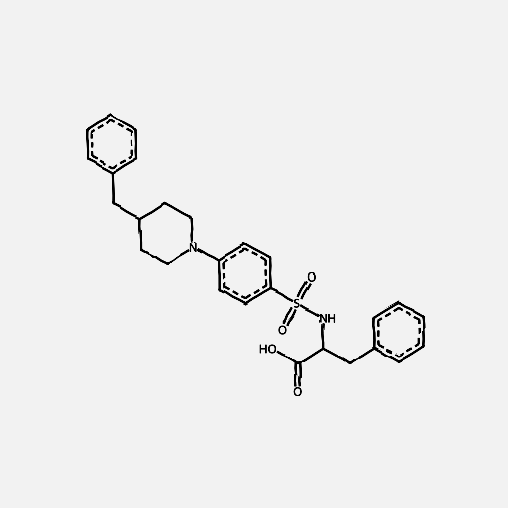 O=C(O)C(Cc1ccccc1)NS(=O)(=O)c1ccc(N2CCC(Cc3ccccc3)CC2)cc1